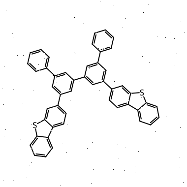 c1ccc(-c2cc(-c3cc(-c4ccccc4)cc(-c4ccc5c(c4)sc4ccccc45)c3)cc(-c3ccc4c(c3)sc3ccccc34)c2)cc1